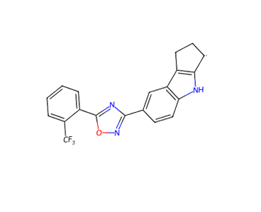 FC(F)(F)c1ccccc1-c1nc(-c2ccc3[nH]c4c(c3c2)CC[CH]4)no1